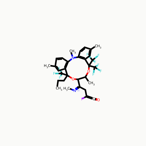 CCCC1(C(F)(F)F)OC(/C(CC(I)=C=O)=N\C)C(C)OC(C(F)(F)F)(C(F)(F)F)c2cc(C)ccc2N(C)c2ccc(C)cc21